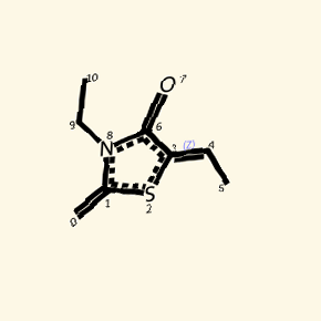 C=c1s/c(=C\C)c(=O)n1CC